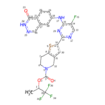 CC(OC(=O)N1CCc2sc(-c3ncc(F)c(Nc4ccc5c(=O)[nH]ncc5c4)n3)cc2C1)C(F)(F)F